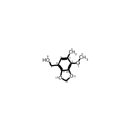 COc1c(C)cc(CO)c2c1OCO2